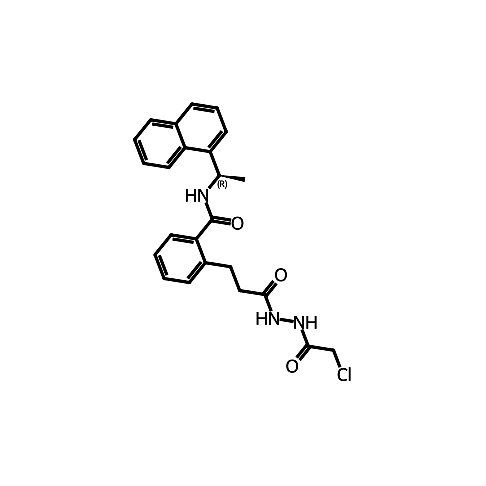 C[C@@H](NC(=O)c1ccccc1CCC(=O)NNC(=O)CCl)c1cccc2ccccc12